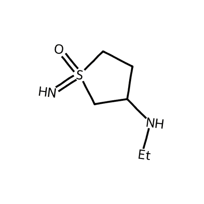 CCNC1CCS(=N)(=O)C1